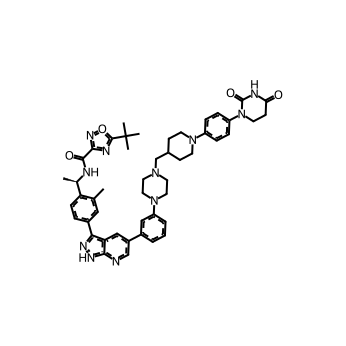 Cc1cc(-c2n[nH]c3ncc(-c4cccc(N5CCN(CC6CCN(c7ccc(N8CCC(=O)NC8=O)cc7)CC6)CC5)c4)cc23)ccc1[C@@H](C)NC(=O)c1noc(C(C)(C)C)n1